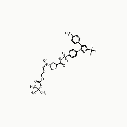 Cc1ccc(-c2cc(C(F)(F)F)nn2-c2ccc(S(=O)(=O)NC(=O)C3CCN(/[N+]([O-])=N\OCOC(=O)OC(C)(C)C)C3)cc2)cc1